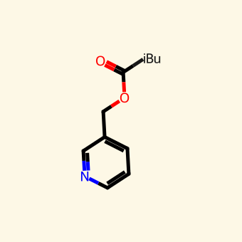 CCC(C)C(=O)OCc1cccnc1